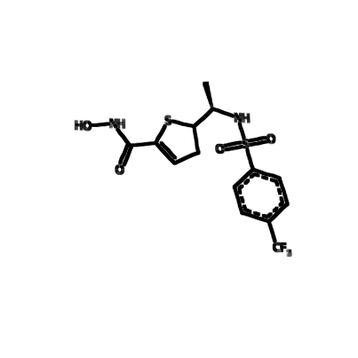 C[C@@H](NS(=O)(=O)c1ccc(C(F)(F)F)cc1)C1CC=C(C(=O)NO)S1